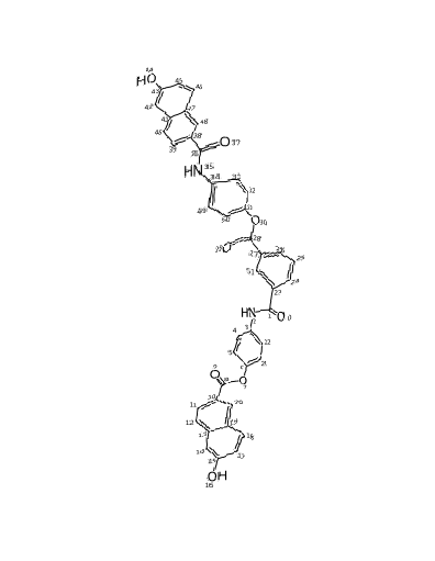 O=C(Nc1ccc(OC(=O)c2ccc3cc(O)ccc3c2)cc1)c1cccc(C(=O)Oc2ccc(NC(=O)c3ccc4cc(O)ccc4c3)cc2)c1